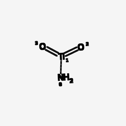 [NH2][Ti](=[O])=[O]